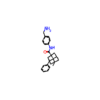 CC12CC3CC4(C(=O)Nc5ccc(CN)cc5)CC(c5ccccc5)(C1)C324